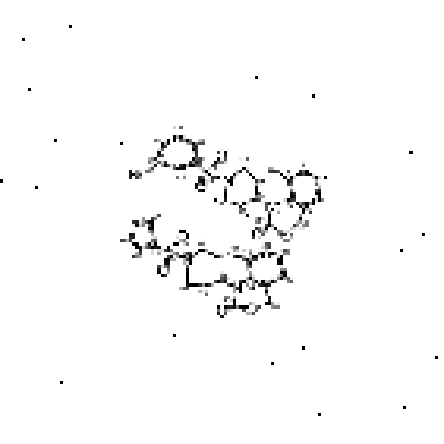 Cc1cccc2c1N(C1CCN(S(=O)(=O)c3cccc(C#N)c3)CC1)C(=O)OC2.Cc1cccc2c1N(C1CCN(S(=O)(=O)c3ccsc3)CC1)C(=O)OC2